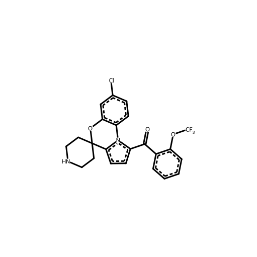 O=C(c1ccccc1OC(F)(F)F)c1ccc2n1-c1ccc(Cl)cc1OC21CCNCC1